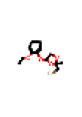 CCOc1ccccc1OC1COC(C)(CBr)O1